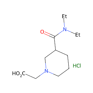 CCN(CC)C(=O)C1CCCN(CC(=O)O)C1.Cl